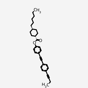 CCC#Cc1ccc(C#Cc2ccc(OC(=O)[C@H]3CC[C@H](CCCCCC)CC3)cc2)cc1